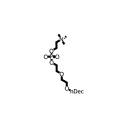 CCCCCCCCCCOCCOCCOP(=O)([O-])OCC[N+](C)(C)C